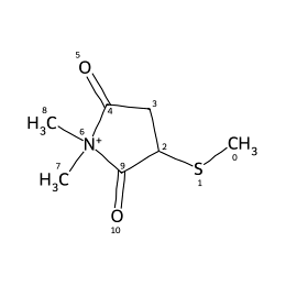 CSC1CC(=O)[N+](C)(C)C1=O